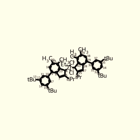 C[CH2][Zr]([Cl])([Cl])([CH]1C(C(C)C)=Cc2c(-c3cc(C(C)(C)C)cc(C(C)(C)C)c3)cc(C)c(C)c21)[CH]1C(C(C)C)=Cc2c(-c3cc(C(C)(C)C)cc(C(C)(C)C)c3)cc(C)c(C)c21